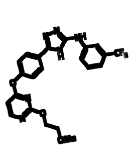 COCCOc1nccc(Oc2ccc(-c3nnc(Nc4cccc(C(F)(F)F)c4)[nH]3)cc2)n1